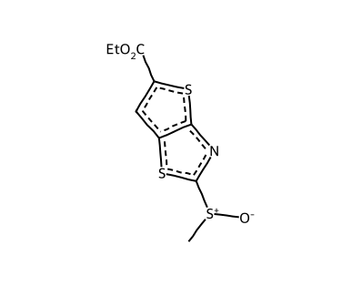 CCOC(=O)c1cc2sc([S+](C)[O-])nc2s1